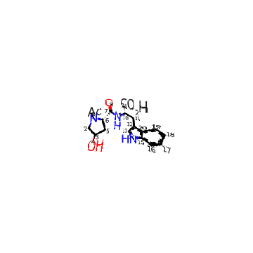 CC(=O)N1CC(O)C[C@H]1C(=O)N[C@@H](Cc1c[nH]c2ccccc12)C(=O)O